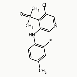 Cc1ccc(Nc2cncc(Cl)c2P(C)(C)=O)c(F)c1